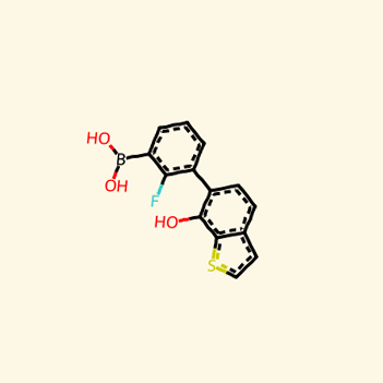 OB(O)c1cccc(-c2ccc3ccsc3c2O)c1F